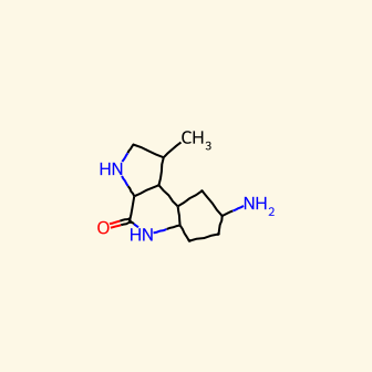 CC1CNC2C(=O)NC3CCC(N)CC3C12